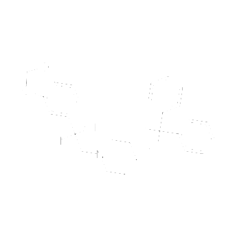 [2H]C([2H])(CN1CCC[C@@H](OC([2H])(c2ccccc2)c2ccccc2)C1)c1ccc2c(c1)OCO2